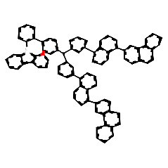 c1cc(-c2cccc3c(-c4ccc5ccc6ccccc6c5c4)cccc23)cc(C(c2ccc(-c3ccccc3-n3c4ccccc4c4ccccc43)cc2)c2cccc(-c3cccc4c(-c5ccc6ccc7ccccc7c6c5)cccc34)c2)c1